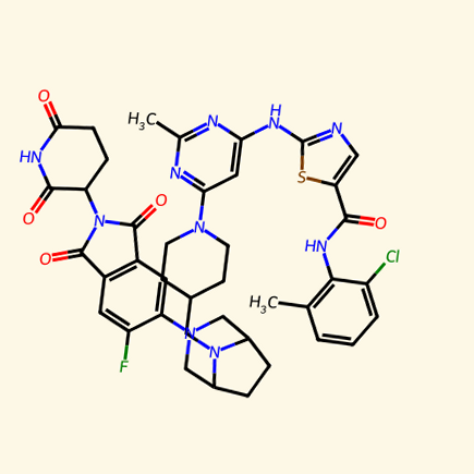 Cc1nc(Nc2ncc(C(=O)Nc3c(C)cccc3Cl)s2)cc(N2CCC(CN3C4CCC3CN(c3cc5c(cc3F)C(=O)N(C3CCC(=O)NC3=O)C5=O)C4)CC2)n1